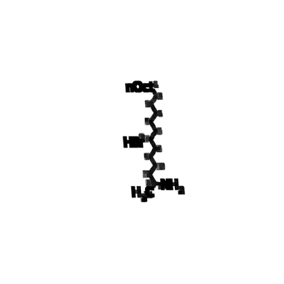 Br.CCCCCCCCCCCCCCCCCCC(C)N